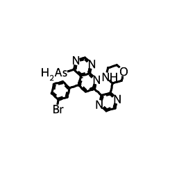 [AsH2]c1ncnc2nc(-c3nccnc3C3COCCN3)cc(-c3cccc(Br)c3)c12